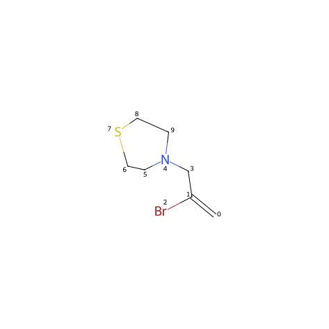 C=C(Br)CN1CCSCC1